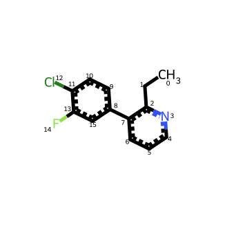 CCc1ncccc1-c1ccc(Cl)c(F)c1